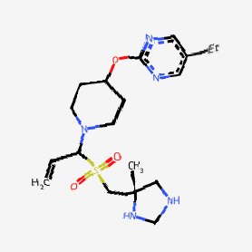 C=CC(N1CCC(Oc2ncc(CC)cn2)CC1)S(=O)(=O)C[C@]1(C)CNCN1